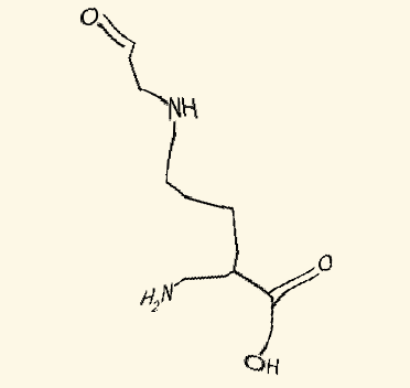 NC(CCNCC=O)C(=O)O